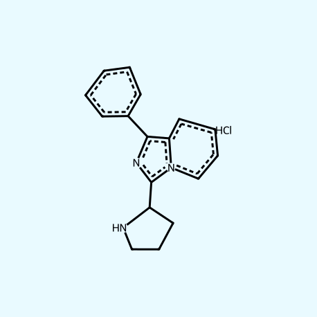 Cl.c1ccc(-c2nc(C3CCCN3)n3ccccc23)cc1